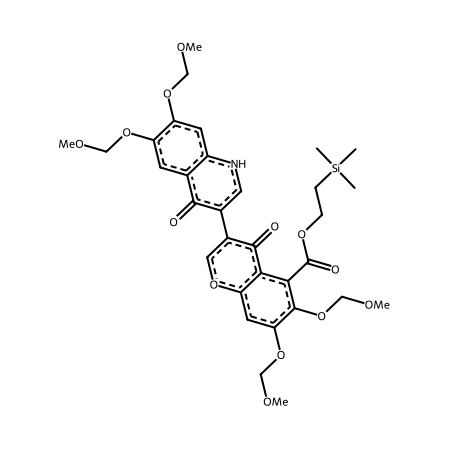 COCOc1cc2[nH]cc(-c3coc4cc(OCOC)c(OCOC)c(C(=O)OCC[Si](C)(C)C)c4c3=O)c(=O)c2cc1OCOC